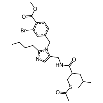 CCCCc1ncc(CNC(=O)C(CSC(C)=O)CC(C)C)n1Cc1ccc(C(=O)OC)c(Br)c1